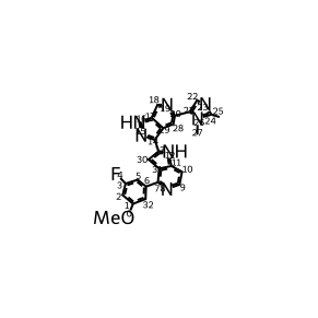 COc1cc(F)cc(-c2nccc3[nH]c(-c4n[nH]c5cnc(-c6cnc(C)n6C)cc45)cc23)c1